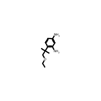 CCOCC(C)(C)c1ccc(N)cc1N